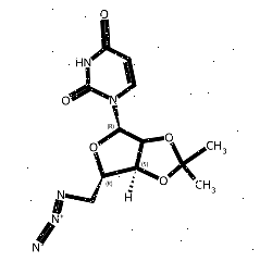 CC1(C)OC2[C@@H](O1)[C@@H](CN=[N+]=[N-])O[C@H]2n1ccc(=O)[nH]c1=O